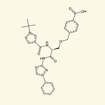 CC(C)(C)n1ccc(C(=O)N[C@@H](COCc2ccc(C(=O)O)cc2)C(=O)Nc2nc(-c3ccccc3)cs2)c1